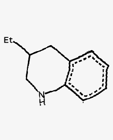 CCC1CNc2[c]cccc2C1